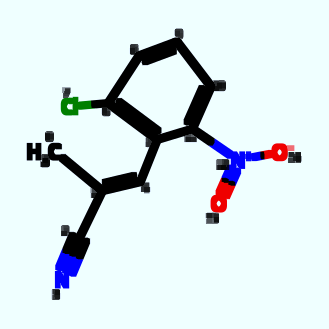 C/C(C#N)=C\c1c(Cl)cccc1[N+](=O)[O-]